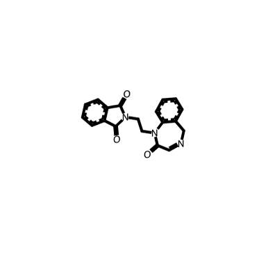 O=C1c2ccccc2C(=O)N1CCN1C(=O)C=NCc2ccccc21